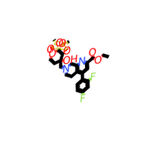 CCOC(=O)c1cc(-c2ccc(F)cc2F)c2c(n1)CN(CC1(O)CCOC(S(C)(=O)=O)(S(C)(=O)=O)C1)CC2